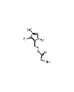 CCn1nc(C#N)c(Br)c1CCOC(=O)NC(C)(C)C